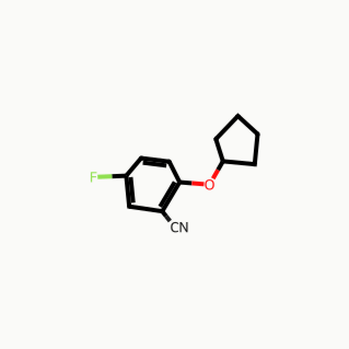 N#Cc1cc(F)ccc1OC1CCCC1